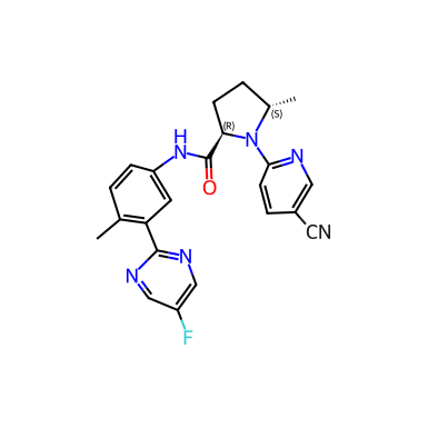 Cc1ccc(NC(=O)[C@H]2CC[C@H](C)N2c2ccc(C#N)cn2)cc1-c1ncc(F)cn1